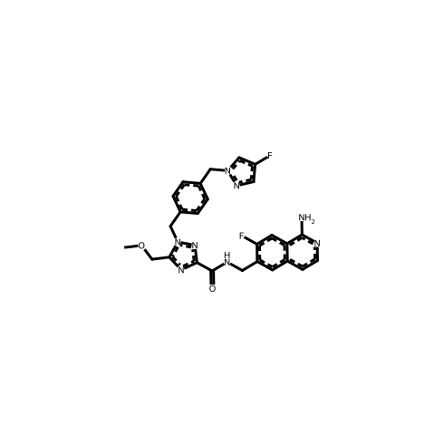 COCc1nc(C(=O)NCc2cc3ccnc(N)c3cc2F)nn1Cc1ccc(Cn2cc(F)cn2)cc1